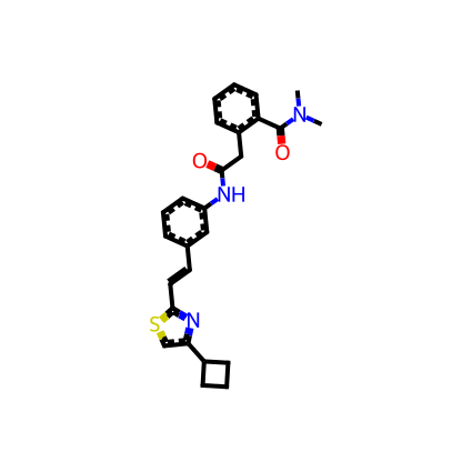 CN(C)C(=O)c1ccccc1CC(=O)Nc1cccc(/C=C/c2nc(C3CCC3)cs2)c1